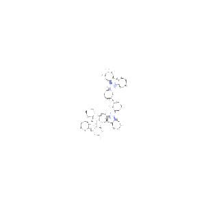 c1ccc([Si](c2ccccc2)(c2ccccc2)c2ccc3c(c2)c2ccccc2n3-c2cccc(-c3cccc(-n4c5ccccc5c5ccccc54)c3)c2)cc1